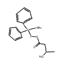 CCCC[Si](OOC(=O)CC(C)O)(c1ccccc1)c1ccccc1